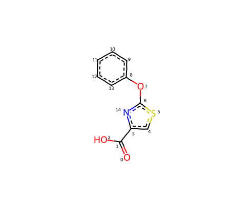 O=C(O)c1csc(Oc2ccccc2)n1